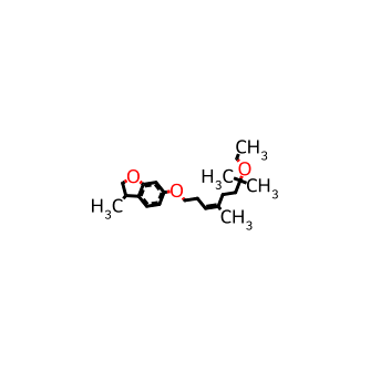 CCOC(C)(C)CCC(C)=CCCOc1ccc2c(c1)OCC2C